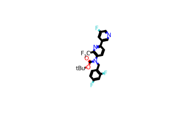 CC(C)(C)OC(=O)N(Cc1ccc(F)cc1F)c1ccc(-c2cncc(F)c2)nc1C(F)(F)F